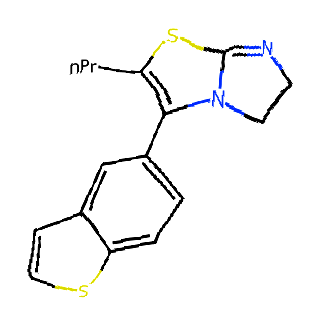 CCCC1=C(c2ccc3sccc3c2)N2CCN=C2S1